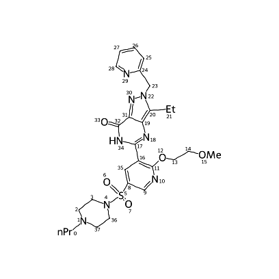 CCCN1CCN(S(=O)(=O)c2cnc(OCCOC)c(-c3nc4c(CC)n(Cc5ccccn5)nc4c(=O)[nH]3)c2)CC1